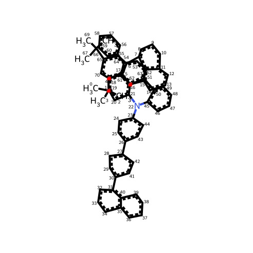 CC(C)(C)c1cc(-c2cccc3cccc(-c4ccccc4N(c4ccc(-c5ccc(-c6cccc7ccccc67)cc5)cc4)c4ccccc4-c4ccc(-c5ccccc5)cc4)c23)cc(C(C)(C)C)c1